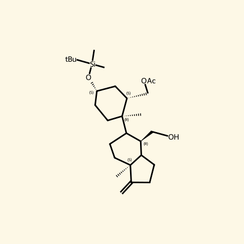 C=C1CCC2[C@H](CO)C([C@@]3(C)CC[C@H](O[Si](C)(C)C(C)(C)C)C[C@@H]3COC(C)=O)CC[C@]12C